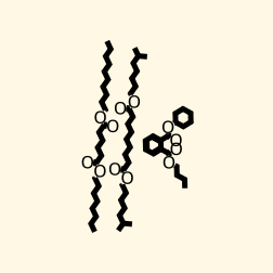 CC(C)CCCCCOC(=O)CCCCCCCC(=O)OCCCCCC(C)C.CCCCCCCCCCOC(=O)CCCCC(=O)OCCCCCCCC.CCCCOC(=O)c1ccccc1C(=O)OC1CCCCC1